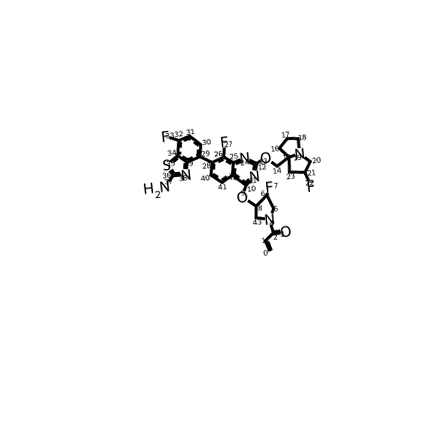 C=CC(=O)N1CC(F)C(Oc2nc(OCC34CCCN3CC(F)C4)nc3c(F)c(-c4ccc(F)c5sc(N)nc45)ccc23)C1